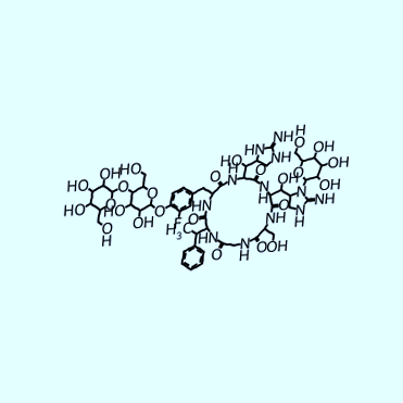 CC(c1ccccc1)C1NC(=O)CNC(=O)C(CO)NC(=O)C(C(O)C2CNC(=N)N2C2OC(CO)C(O)C(O)C2O)NC(=O)C(C(O)C2CNC(=N)N2)NC(=O)C(Cc2ccc(OC3OC(CO)C(OC4OC(CO)C(O)C(O)C4O)C(O)C3O)c(F)c2)NC1=O